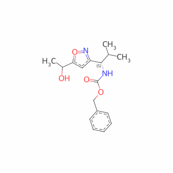 CC(O)c1cc([C@@H](NC(=O)OCc2ccccc2)C(C)C)no1